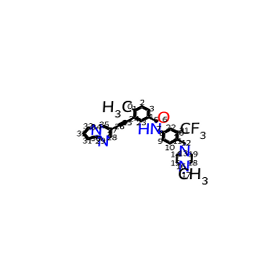 Cc1ccc(C(=O)Nc2ccc(CN3CCN(C)CC3)c(C(F)(F)F)c2)cc1C#Cc1cnc2cccn2c1